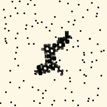 CCCCc1cc(NC(=O)Nc2ccc(Oc3ccnc(NC(=O)NC)c3)c3ccccc23)n(-c2ccc(S(C)(=O)=O)cc2)n1